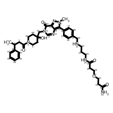 CC(CC(=O)N1CCC(O)(Cn2cnc3c(-c4ccc(CNCCCNC(=O)CCOCCC(N)=O)cc4)n(C)nc3c2=O)CC1)c1ccccc1